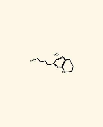 Cl.OCCCCc1ccc2c(n1)NCCC2